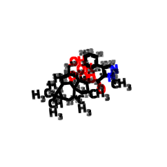 CC1=CC23C(=O)[C@@H](C=C(CO)[C@@H](O)[C@]2(O)[C@H]1OC(=O)c1c(-c2ccccc2)cnn1C)[C@H]1[C@@H](CC3C)C1(C)C